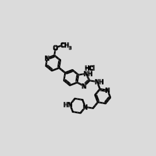 COc1cc(-c2ccc3nc(Nc4cc(CN5CCNCC5)ccn4)[nH]c3c2)ccn1.Cl